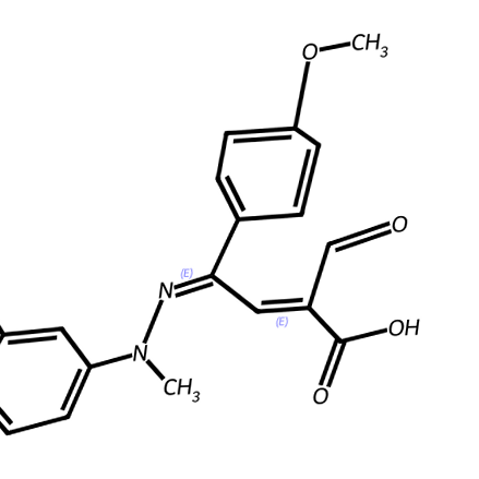 COc1ccc(C(/C=C(\C=O)C(=O)O)=N/N(C)c2cccc(F)c2)cc1